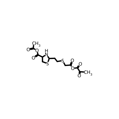 CC(=O)OC(=O)C1CSC(CCSCC(=O)OC(=O)C(C)=O)N1